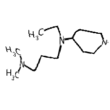 CCN(CCCN(C)C)C1CC[N]CC1